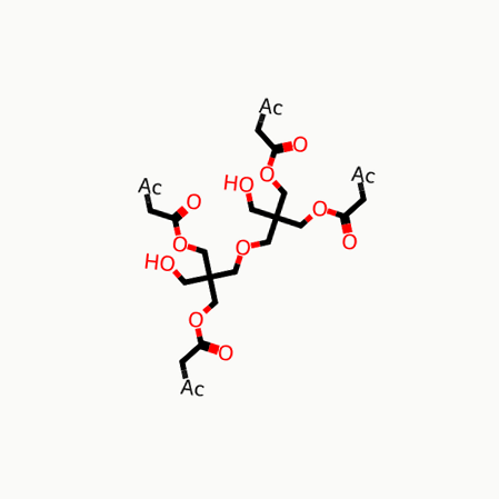 CC(=O)CC(=O)OCC(CO)(COCC(CO)(COC(=O)CC(C)=O)COC(=O)CC(C)=O)COC(=O)CC(C)=O